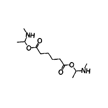 CNC(C)OC(=O)CCCCC(=O)OC(C)NC